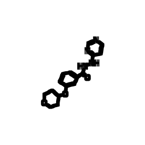 O=C(NNc1ccncn1)c1cccc(OC2CCOCC2)c1